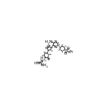 CC(C)S(=O)(=O)c1ccc(-c2cnc(N)c(-c3cc(-c4ccc(CNC(=N)N)c(F)c4)no3)n2)cc1